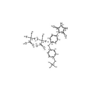 C[N+](C)(C)Cc1ccc(C[n+]2ccc(-n3c(=O)[nH][nH]c3=O)cc2)cc1.O=C([O-])C(F)(F)F.O=C([O-])C(F)(F)F